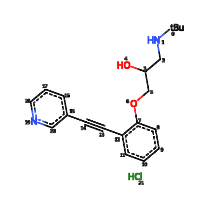 CC(C)(C)NCC(O)COc1ccccc1C#Cc1cccnc1.Cl